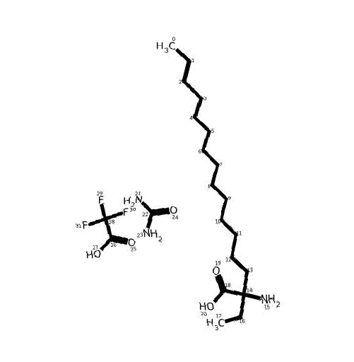 CCCCCCCCCCCCCCC(N)(CC)C(=O)O.NC(N)=O.O=C(O)C(F)(F)F